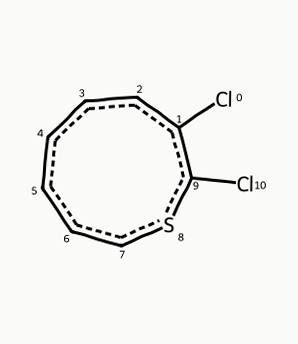 Clc1ccccccsc1Cl